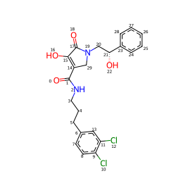 O=C(NCCCc1ccc(Cl)c(Cl)c1)C1=C(O)C(=O)N(C[C@@H](O)c2ccccc2)C1